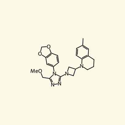 COCc1nnc(N2CC(N3CCCc4cc(C)ccc43)C2)n1-c1ccc2c(c1)OCO2